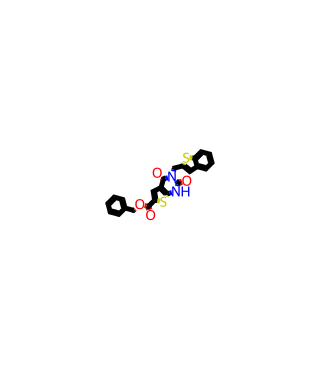 O=C(OCc1ccccc1)c1cc2c(=O)n(Cc3cc4ccccc4s3)c(=O)[nH]c2s1